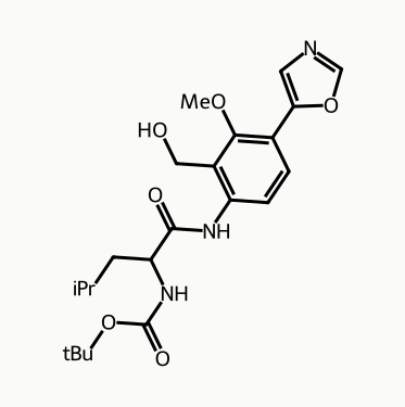 COc1c(-c2cnco2)ccc(NC(=O)C(CC(C)C)NC(=O)OC(C)(C)C)c1CO